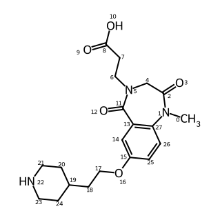 CN1C(=O)CN(CCC(=O)O)C(=O)c2cc(OCCC3CCNCC3)ccc21